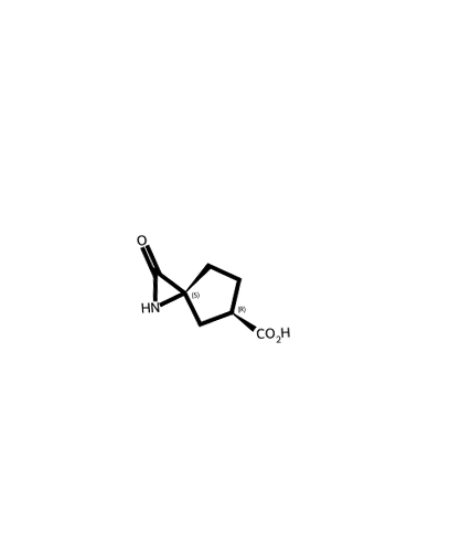 O=C(O)[C@@H]1CC[C@@]2(C1)NC2=O